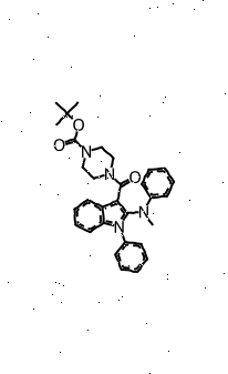 CN(c1ccccc1)c1c(C(=O)N2CCN(C(=O)OC(C)(C)C)CC2)c2ccccc2n1-c1ccccc1